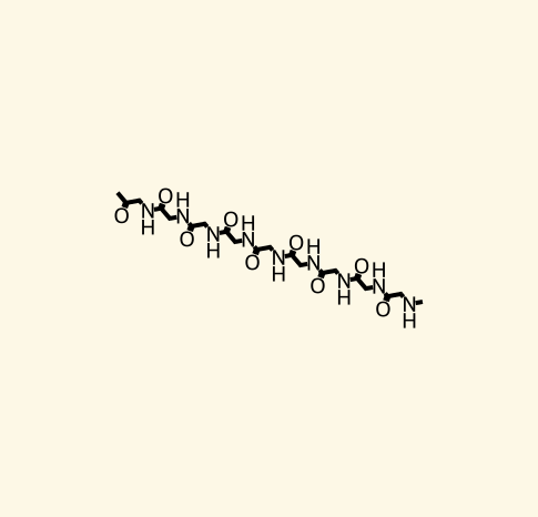 CNCC(=O)NCC(=O)NCC(=O)NCC(=O)NCC(=O)NCC(=O)NCC(=O)NCC(=O)NCC(C)=O